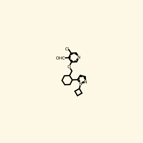 O=Cc1c(Cl)cncc1OCC1CCCCC1c1ccnn1C1CCC1